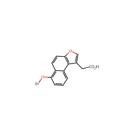 CCOC(=O)Cc1coc2ccc3c(OCC)cccc3c12